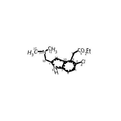 CCOC(=O)Cc1c(Cl)ccc2[nH]c(CN(C)C)cc12